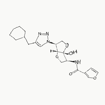 O=C(N[C@H]1CO[C@@H]2[C@@H](n3cc(CC4CCCCC4)nn3)CO[C@]12O)c1ccoc1